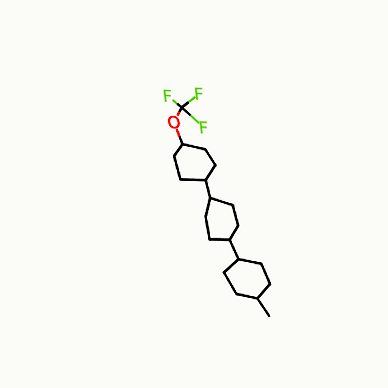 CC1CCC(C2CCC(C3CCC(OC(F)(F)F)CC3)CC2)CC1